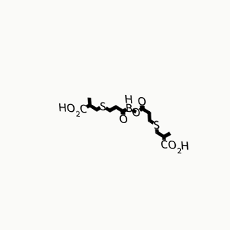 CC(CSCCC(=O)BOC(=O)CCSCC(C)C(=O)O)C(=O)O